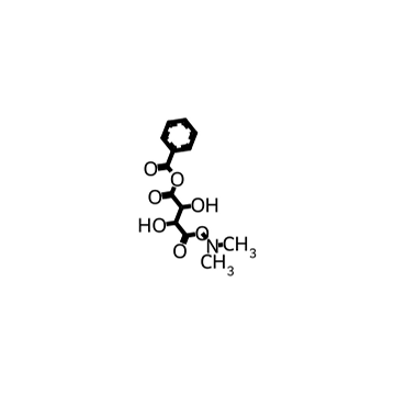 CN(C)OC(=O)C(O)C(O)C(=O)OC(=O)c1ccccc1